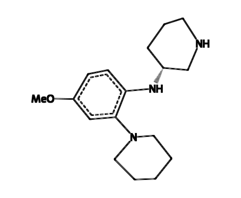 COc1ccc(N[C@@H]2CCCNC2)c(N2CCCCC2)c1